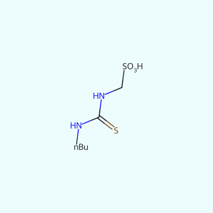 CCCCNC(=S)NCS(=O)(=O)O